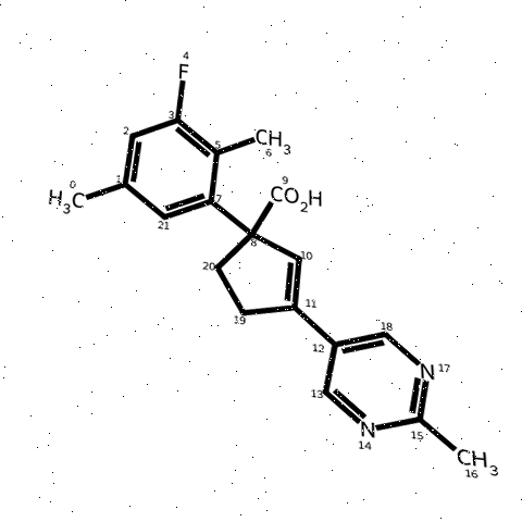 Cc1cc(F)c(C)c(C2(C(=O)O)C=C(c3cnc(C)nc3)CC2)c1